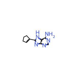 Nc1ncnc2nc(C3=CCCC3)[nH]c12